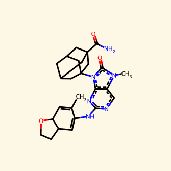 CC1=CC2OCCC2C=C1Nc1ncc2c(n1)n(C13CC4CC(CC(C(N)=O)(C4)C1)C3)c(=O)n2C